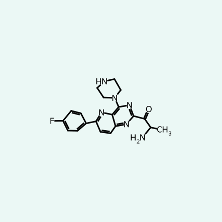 CC(N)C(=O)c1nc(N2CCNCC2)c2nc(-c3ccc(F)cc3)ccc2n1